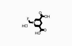 Cl.O=C(O)C1=CN(CF)C=C(C(=O)O)C1